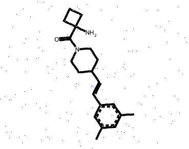 Cc1cc(C)cc(/C=C/C2CCN(C(=O)C3(N)CCC3)CC2)c1